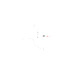 CC1CC1=O.CCCC